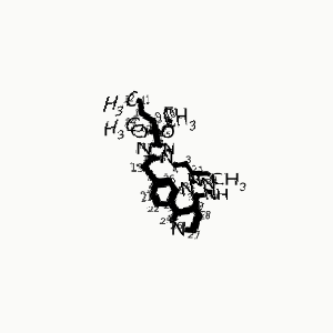 CCCCCn1nc(C(CCCC)(OC)OC)nc1Cc1ccc(-c2cnccc2-c2nnn[nH]2)cc1